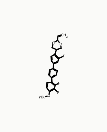 C=CC1OCC(c2ccc(-c3ccc(-c4ccc(OCCCC)c(F)c4F)cc3)cc2F)CO1